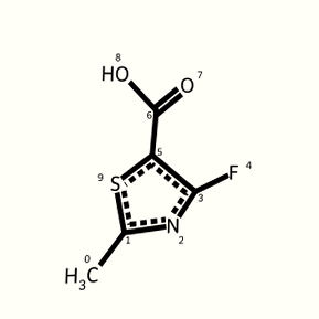 Cc1nc(F)c(C(=O)O)s1